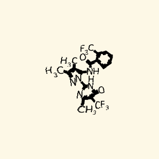 Cc1nn(-c2nc(C)c(C(F)(F)F)c(=O)[nH]2)c(NC(=O)c2ccccc2C(F)(F)F)c1C